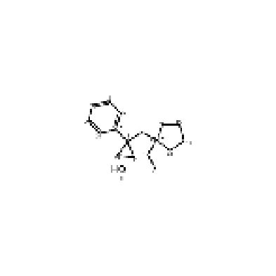 CC[N+]1(CC2(c3ccccc3)CC2)CCCC1.[OH-]